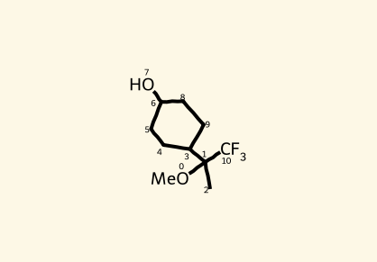 COC(C)(C1CCC(O)CC1)C(F)(F)F